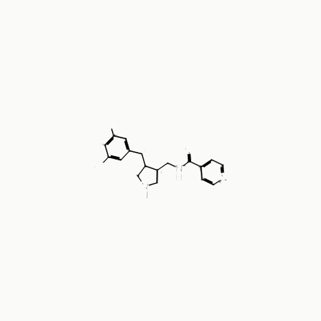 O=C(NCC1CNCC1Cc1cc(F)cc(F)c1)c1ccncc1